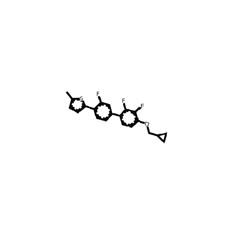 Cc1ccc(-c2ccc(-c3ccc(OCC4CC4)c(F)c3F)cc2F)s1